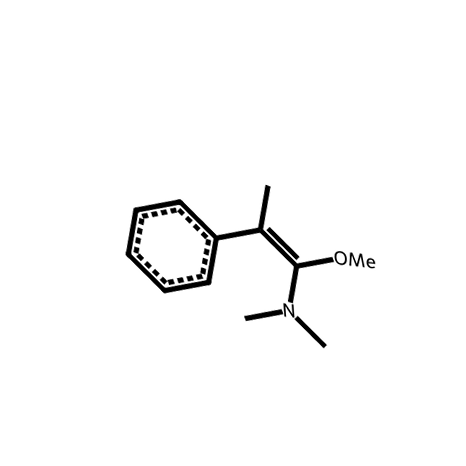 CO/C(=C(\C)c1ccccc1)N(C)C